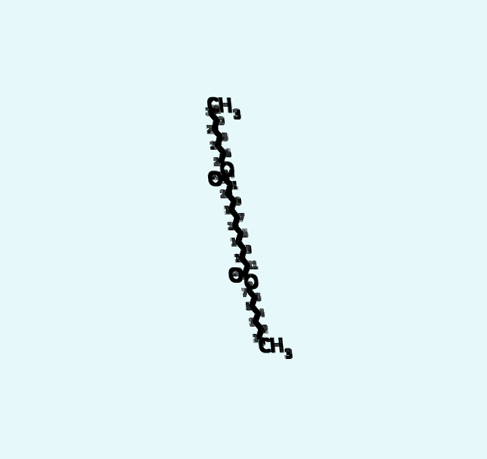 CCCCCCCCOC(=O)CCCCCCCCCCCC(=O)OCCCCCCCC